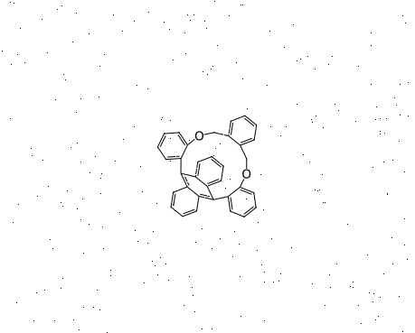 c1ccc2c(c1)COc1ccccc1-c1c3ccccc3c(c3ccccc13)-c1ccccc1OC2